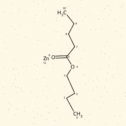 CCCCOC(=O)CCCC.[Zn]